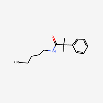 CC(C)(C(=O)NCCCCN=O)c1ccccc1